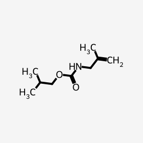 C=C(C)CNC(=O)OCC(C)C